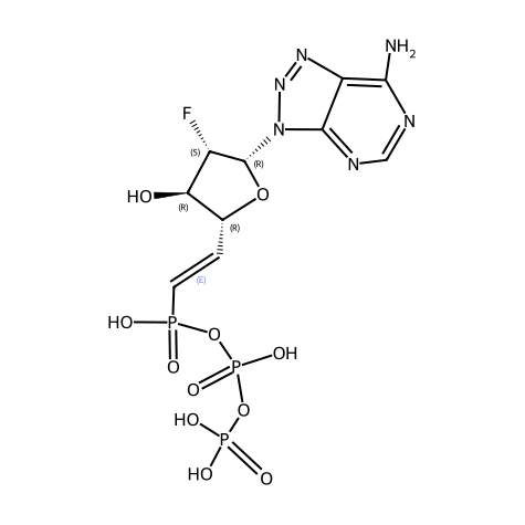 Nc1ncnc2c1nnn2[C@@H]1O[C@H](/C=C/P(=O)(O)OP(=O)(O)OP(=O)(O)O)[C@@H](O)[C@@H]1F